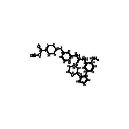 CC(C)(C)OC(=O)N1CCN(Cc2ccnc(NC(=S)Nc3cc(-c4ccnn4C4CCCCO4)ccc3N)c2)CC1